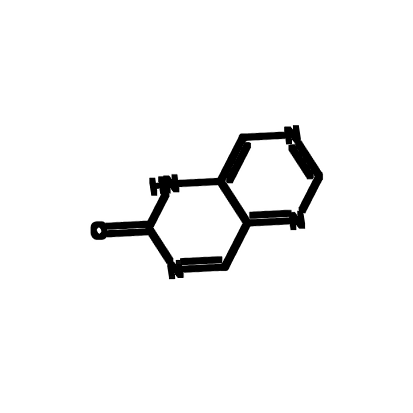 O=c1ncc2ncncc2[nH]1